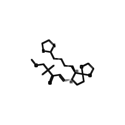 COCC(C)(C)C(=O)C=C[C@H]1CCC2(OCCO2)[C@@H]1CCCCC1SCCS1